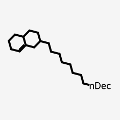 CCCCCCCCCCCCCCCCCCC1CCC2CCCC=C2C1